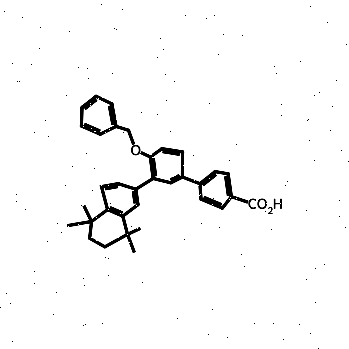 CC1(C)CCC(C)(C)c2cc(-c3cc(-c4ccc(C(=O)O)cc4)ccc3OCc3ccccc3)ccc21